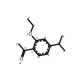 CCOc1cc(C(C)C)ccc1C(C)=O